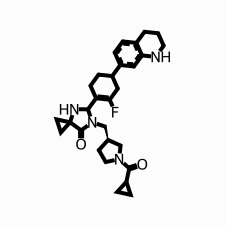 O=C(C1CC1)N1CC[C@@H](CN2C(=O)C3(CC3)NC2C2=C(F)CC(c3ccc4c(c3)NCCC4)CC2)C1